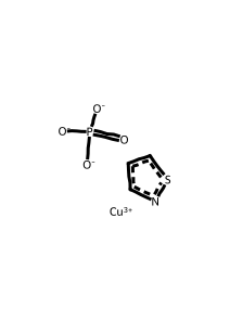 O=P([O-])([O-])[O-].[Cu+3].c1cnsc1